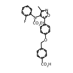 CCOC(=O)N(c1ccccc1F)c1c(C)noc1-c1ccc(OCc2ccc(C(=O)O)cc2)cc1